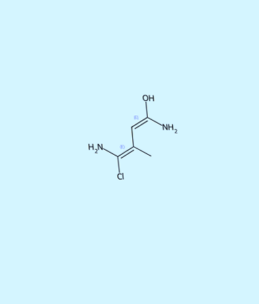 CC(/C=C(\N)O)=C(/N)Cl